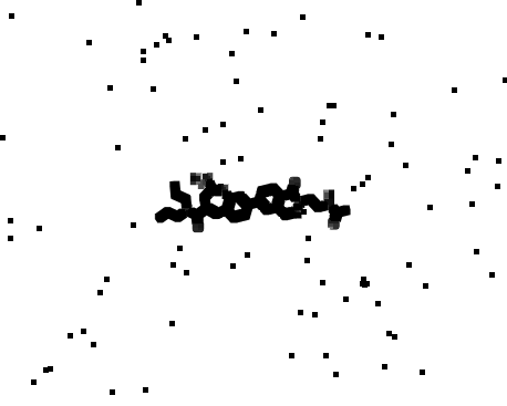 CCCN(CCC)C(=O)C1=Cc2ccc(-c3ccc4c(=O)n(CCNC(C)=O)ncc4c3)cc2N=C(N)C1